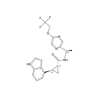 C[C@@H](NC(=O)[C@@H]1C[C@H]1c1cccc2[nH]ccc12)c1cnc(OCC(F)(F)F)cn1